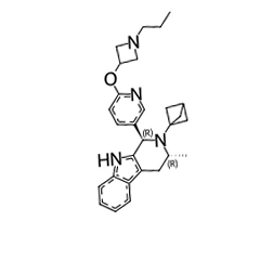 CCCN1CC(Oc2ccc([C@@H]3c4[nH]c5ccccc5c4C[C@@H](C)N3C34CC(C3)C4)cn2)C1